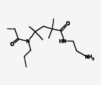 CCCN(C(=O)CC)C(C)(C)CC(C)(C)C(=O)NCCN